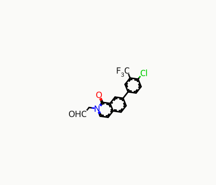 O=CCn1ccc2ccc(-c3ccc(Cl)c(C(F)(F)F)c3)cc2c1=O